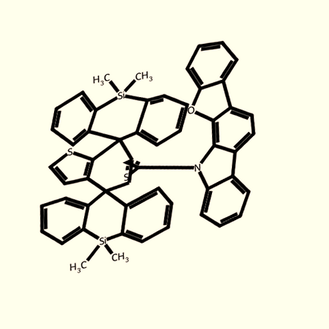 C[Si]1(C)c2ccccc2C2(c3ccccc31)c1cc(-n3c4ccccc4c4ccc5c6ccccc6oc5c43)sc1C1(c3ccccc3[Si](C)(C)c3ccccc31)c1ccsc12